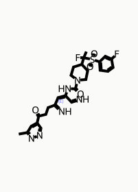 Cc1cc(C(=O)CCC(=N)/C=C(\C=N)NC(=O)N2CCC(C(C)(F)S(=O)(=O)c3cccc(F)c3)CC2)cnn1